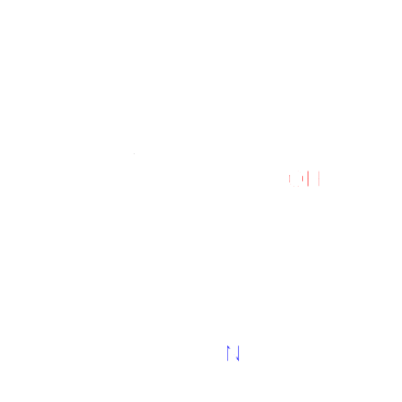 CC1=C(C(O)c2cccnc2)C(C)(C)CCC1